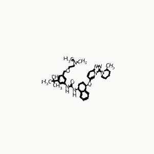 C[C@H]1CCCCN1c1nnc2ccc(O[C@@H]3CC[C@H](NC(=O)Nc4cc(COCCN(C)C)cc(C(C)(C)C)c4)c4ccccc43)cn12